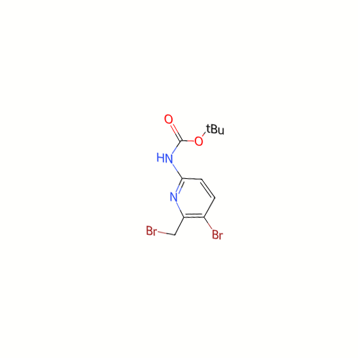 CC(C)(C)OC(=O)Nc1ccc(Br)c(CBr)n1